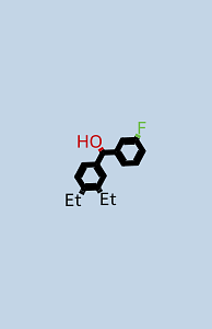 CCc1ccc(C(O)c2cccc(F)c2)cc1CC